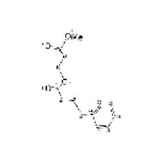 COC(=O)CCOC(=O)CCCc1ccccc1